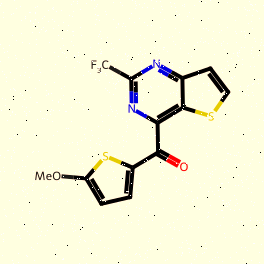 COc1ccc(C(=O)c2nc(C(F)(F)F)nc3ccsc23)s1